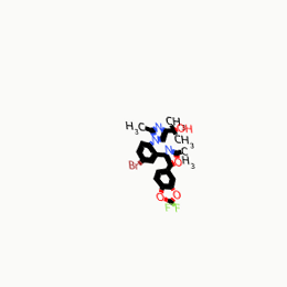 Cc1nc(-c2cc(Br)ccc2-n2cc(C(C)(C)O)nc2C)c(-c2ccc3c(c2)OC(F)(F)O3)o1